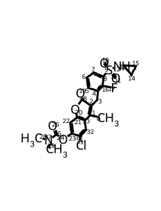 Cc1c(Cc2cccc(S(=O)(=O)NC3CC3)c2F)c(=O)oc2cc(OC(=O)N(C)C)c(Cl)cc12